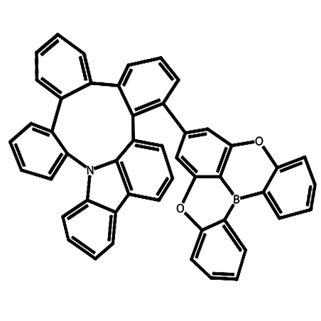 c1ccc2c(c1)Oc1cc(-c3cccc4c5ccccc5c5ccccc5n5c6ccccc6c6cccc(c34)c65)cc3c1B2c1ccccc1O3